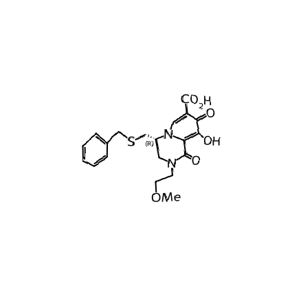 COCCN1C[C@H](CSCc2ccccc2)n2cc(C(=O)O)c(=O)c(O)c2C1=O